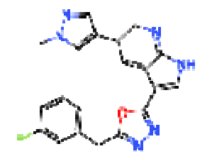 Cn1cc(C2C=c3c(-c4nnc(Cc5cccc(F)c5)o4)c[nH]c3=NC2)cn1